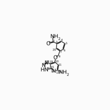 NC(=O)c1cccc(COc2cc(N)nc3[nH]nnc23)c1